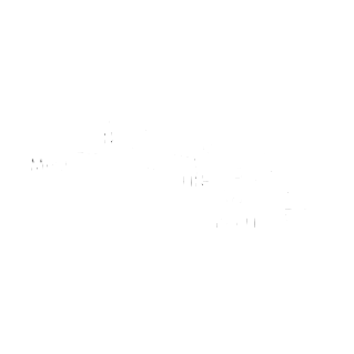 COCCN(C)c1ccc(C(=O)Nc2sc3c(c2C(=O)O)CC(C)(C)CC3(C)C)cc1